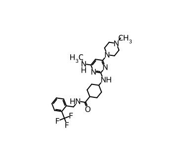 CNc1cc(N2CCN(C)CC2)nc(NC2CCC(C(=O)NCc3ccccc3C(F)(F)F)CC2)n1